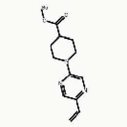 C=Cc1cnc(N2CCC(C(=O)OC(C)(C)C)CC2)cn1